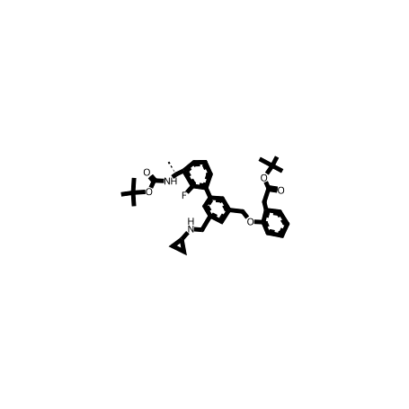 C[C@@H](NC(=O)OC(C)(C)C)c1cccc(-c2cc(CNC3CC3)cc(COc3ccccc3CC(=O)OC(C)(C)C)c2)c1F